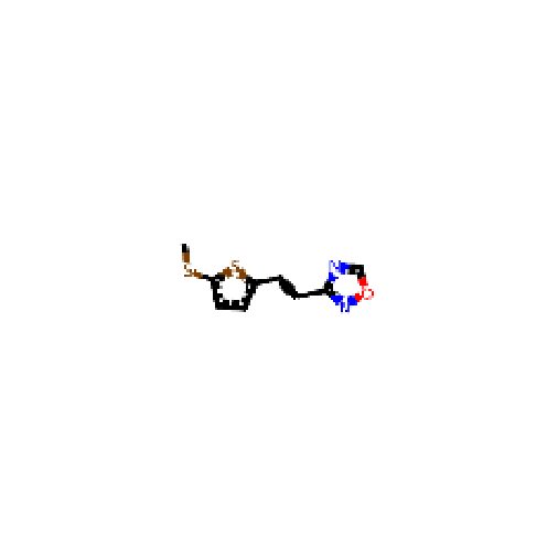 CSc1ccc(C=Cc2ncon2)s1